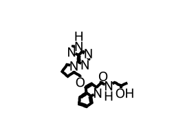 CC(O)CNC(=O)c1cc(OCC2CCCN2c2ncnc3[nH]cnc23)c2ccccc2n1